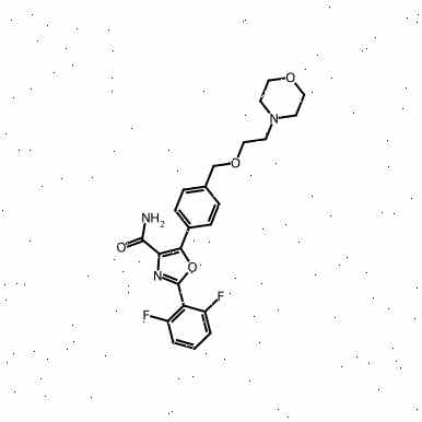 NC(=O)c1nc(-c2c(F)cccc2F)oc1-c1ccc(COCCN2CCOCC2)cc1